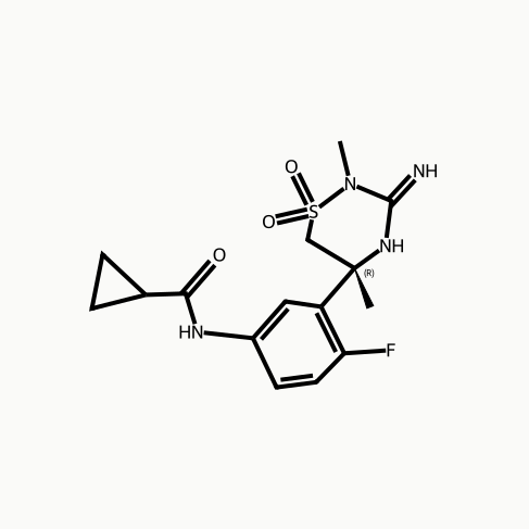 CN1C(=N)N[C@](C)(c2cc(NC(=O)C3CC3)ccc2F)CS1(=O)=O